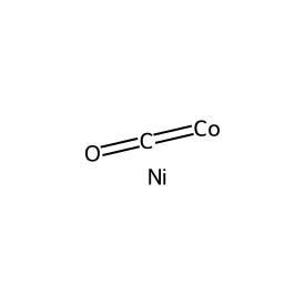 O=[C]=[Co].[Ni]